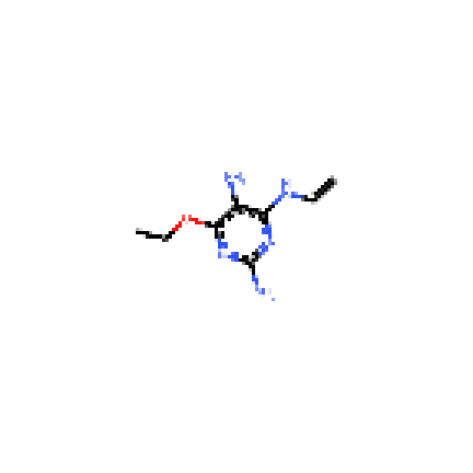 C=CNc1nc(N)nc(OCC)c1N